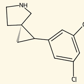 Clc1cc(Cl)cc(C2C[C@@]23CCNC3)c1